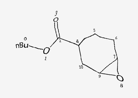 CCCCOC(=O)C1CCC2OC2C1